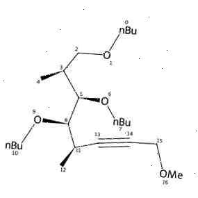 CCCCOC[C@H](C)[C@@H](OCCCC)[C@H](OCCCC)[C@H](C)C#CCOC